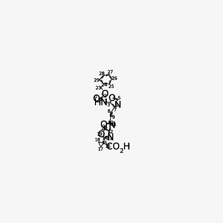 O=C(Nc1ocnc1C#Cc1nc2nc(C3(C(=O)O)CC3)oc2o1)OCc1ccccc1